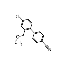 COCc1cc(Cl)ccc1-c1ccc(C#N)cc1